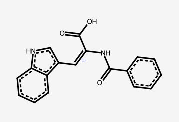 O=C(O)/C(=C\c1c[nH]c2ccccc12)NC(=O)c1ccccc1